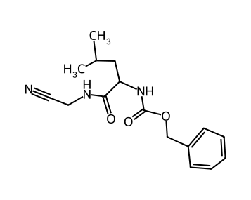 CC(C)CC(NC(=O)OCc1ccccc1)C(=O)NCC#N